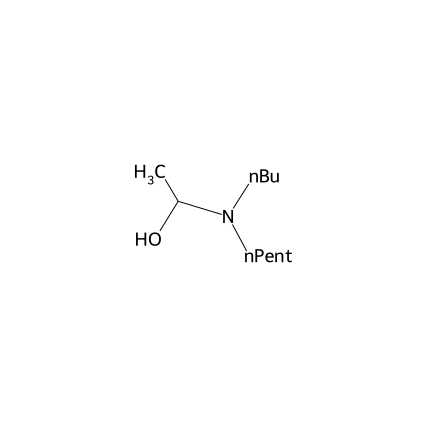 CCCCCN(CCCC)C(C)O